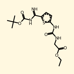 CCOC(=O)CNC(=O)Nc1ccc(C(=N)NC(=O)OC(C)(C)C)s1